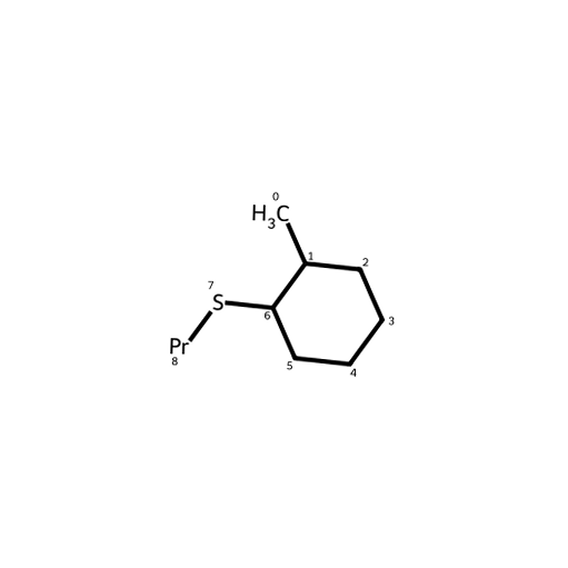 CC1CCCCC1[S][Pr]